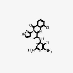 CC(Nc1nc(N)nc(N)c1Cl)c1nc2c(Cl)cccc2c(=O)n1-c1cc[nH]n1